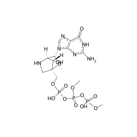 COP(=O)(O)OP(=O)(OC)OP(=O)(O)OC[C@@]12CN[C@@H]([C@H](n3cnc4c(=O)[nH]c(N)nc43)O1)[C@@H]2O